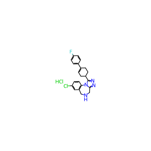 Cl.Fc1ccc(C2=CCC(c3nnc4n3-c3ccc(Cl)cc3CNC4)CC2)cc1